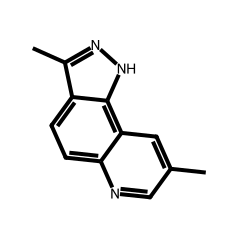 Cc1cnc2ccc3c(C)n[nH]c3c2c1